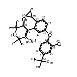 CC1(C)OC(C)(C)C(O)=C(c2cc(Oc3ccc(C(C)(F)F)cc3Cl)ccc2C2CC2)C1=O